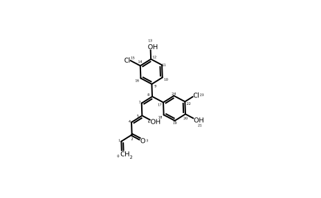 C=CC(=O)C=C(O)C=C(c1ccc(O)c(Cl)c1)c1ccc(O)c(Cl)c1